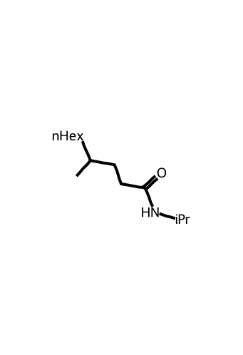 CCCCCCC(C)CCC(=O)NC(C)C